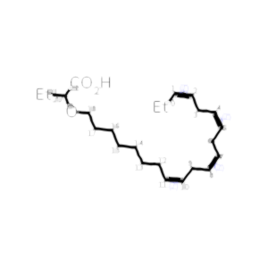 CC/C=C\C/C=C\C/C=C\C/C=C\CCCCCCCOC(CC)C(=O)O